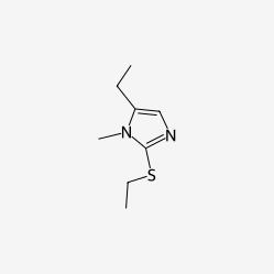 CCSc1ncc(CC)n1C